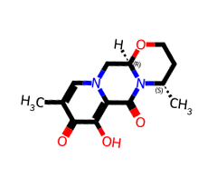 Cc1cn2c(c(O)c1=O)C(=O)N1[C@@H](C)CCO[C@@H]1C2